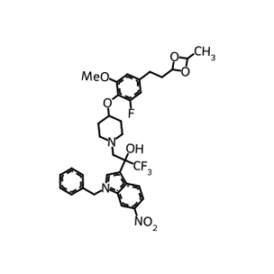 COc1cc(CCC2OC(C)O2)cc(F)c1OC1CCN(CC(O)(c2cn(Cc3ccccc3)c3cc([N+](=O)[O-])ccc23)C(F)(F)F)CC1